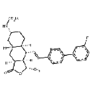 CCOC(=O)N[C@@H]1CC[C@@H]2[C@@H](C1)C[C@@H]1C(=O)O[C@@H](C)[C@@H]1[C@H]2/C=C/c1ccc(-c2cccc(F)c2)cn1